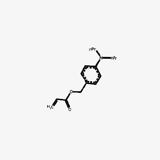 C=CC(=O)OCc1ccc(N(CCC)CCC)cc1